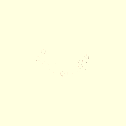 Cc1n[nH]c(Nc2ncnc3cc(OCCN4CCN(c5ncc(OC[C@H]6CN(C[C@H]7CN(C(=O)OC(C)(C)C)[C@@H](C)CN7CC(=O)N7CC(C)(C)c8ncc(Cc9ccc(F)cc9)cc87)CCO6)cn5)CC4)c(S(=O)(=O)C(C)(C)C)cc23)c1C